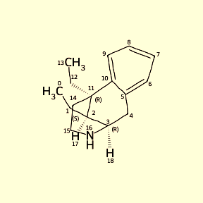 CC[C@@H]1[C@H]2Cc3ccccc3[C@]1(CC)CCN2